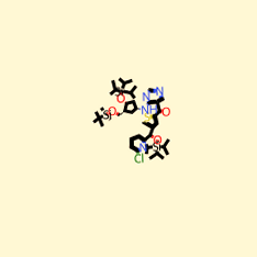 CC(C)[Si](OC(c1csc(C(=O)c2cncnc2N[C@@H]2C[C@H](CO[Si](C)(C)C(C)(C)C)[C@@H](O[Si](C(C)C)(C(C)C)C(C)C)C2)c1)c1cccc(Cl)n1)(C(C)C)C(C)C